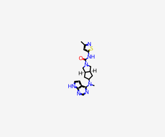 Cc1cc(NC(=O)N2C[C@H]3CC(N(C)c4ncnc5[nH]ccc45)C[C@H]3C2)sn1